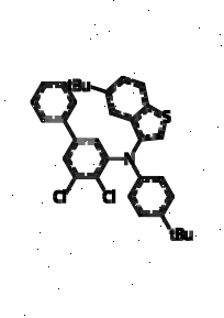 CC(C)(C)c1ccc(N(c2cc(-c3ccccc3)cc(Cl)c2Cl)c2csc3ccc(C(C)(C)C)cc23)cc1